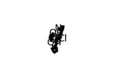 ClC(C=Cc1cccnc1)=NOCCCN1CCCCC1.O=C(O)/C=C\C(=O)O